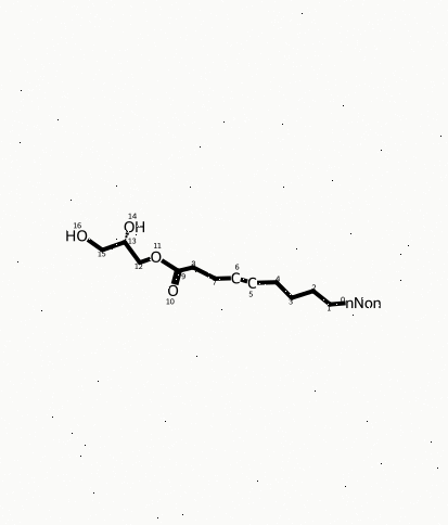 CCCCCCCCCCCCCCCCCC(=O)OC[C@@H](O)CO